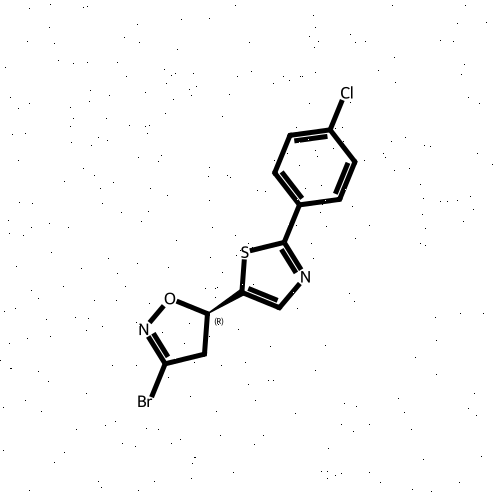 Clc1ccc(-c2ncc([C@H]3CC(Br)=NO3)s2)cc1